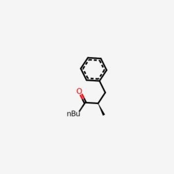 CCCCC(=O)[C@H](C)Cc1ccccc1